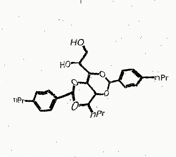 CCCc1ccc(C2OC(CCC)C3OC(c4ccc(CCC)cc4)OC([C@@H](O)CO)C3O2)cc1